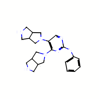 [c]1nc(Nc2ccccc2)nc(N2CC3CNCC3C2)c1N1CC2CNCC2C1